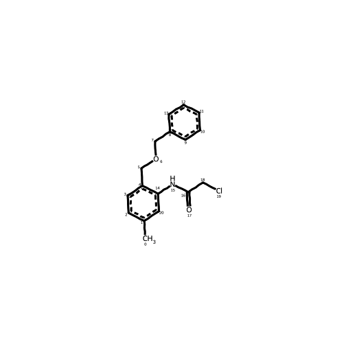 Cc1ccc(COCc2ccccc2)c(NC(=O)CCl)c1